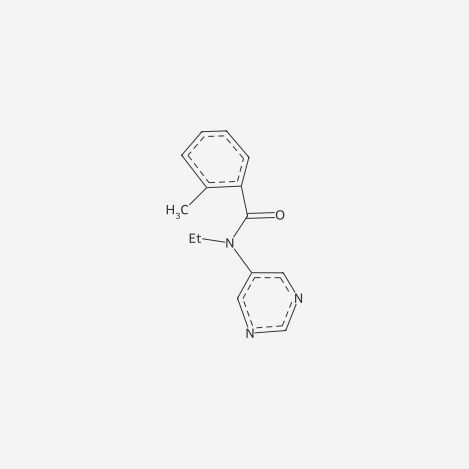 CCN(C(=O)c1ccccc1C)c1cncnc1